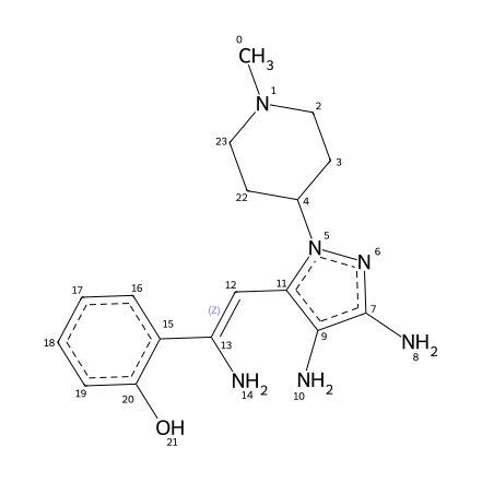 CN1CCC(n2nc(N)c(N)c2/C=C(\N)c2ccccc2O)CC1